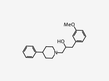 COc1cccc(CC(O)CN2CCC(c3ccccc3)CC2)c1